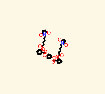 O=C(CCCCCN1C(=O)C=CC1=O)Oc1ccccc1C(=O)Oc1ccc(OC(=O)c2ccccc2OC(=O)CCCCCN2C(=O)C=CC2=O)cc1